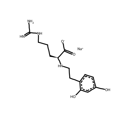 N=C(N)NCCC[C@H](NCCc1ccc(O)cc1O)C(=O)[O-].[Na+]